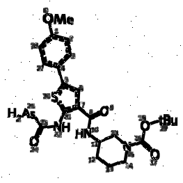 COc1ccc(-c2cc(C(=O)NC3CCCN(C(=O)OC(C)(C)C)C3)c(NC(=O)[AsH2])s2)cc1